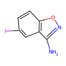 Nc1noc2ccc(I)cc12